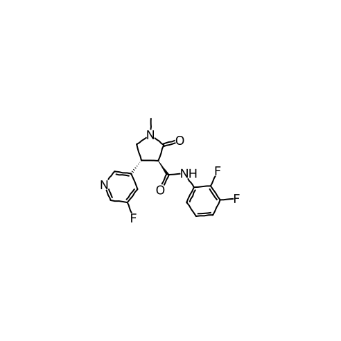 CN1C[C@@H](c2cncc(F)c2)[C@H](C(=O)Nc2cccc(F)c2F)C1=O